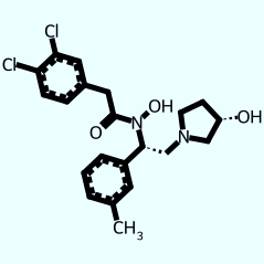 Cc1cccc([C@@H](CN2CC[C@H](O)C2)N(O)C(=O)Cc2ccc(Cl)c(Cl)c2)c1